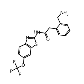 NCc1ccccc1CC(=O)Nc1nc2ccc(OC(F)(F)F)cc2s1